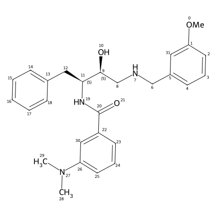 COc1cccc(CNC[C@H](O)[C@H](Cc2ccccc2)NC(=O)c2cccc(N(C)C)c2)c1